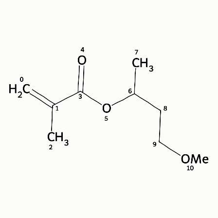 C=C(C)C(=O)OC(C)CCOC